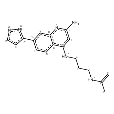 C=C(C)NCCCNc1cc(N)nc2cc(-c3ccn[nH]3)ccc12